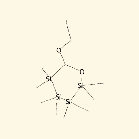 CCOC1O[Si](C)(C)[Si](C)(C)[Si](C)(C)[Si]1(C)C